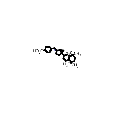 CC1(C)CCC(C)(C)c2cc(C34CC/C(=C\c5ccc(C(=O)O)cc5)C3C4)ccc21